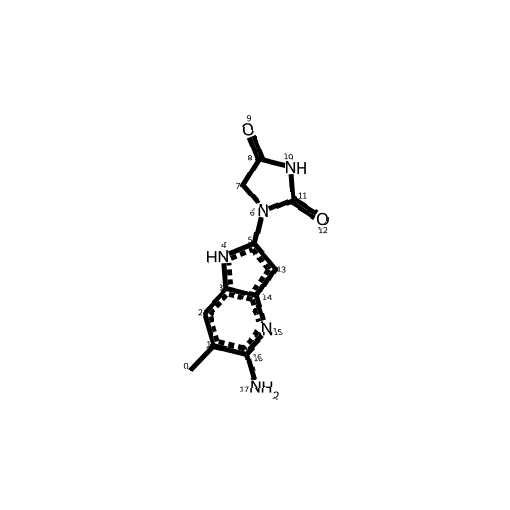 Cc1cc2[nH]c(N3CC(=O)NC3=O)cc2nc1N